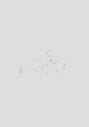 CC(C)c1ccc2c(c1)Cc1ccccc1[S+]2[O-]